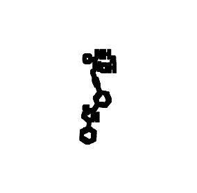 NC(=O)N(O)CC#Cc1cccc(C2=NC(c3ccccc3)CS2)c1